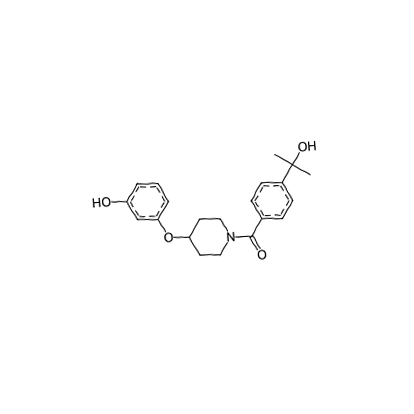 CC(C)(O)c1ccc(C(=O)N2CCC(Oc3cccc(O)c3)CC2)cc1